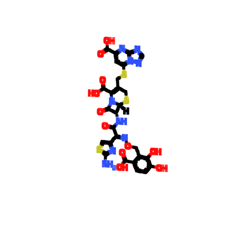 Nc1nc(C(=NOCc2c(C(=O)O)ccc(O)c2O)C(=O)N[C@@H]2C(=O)N3C(C(=O)O)=C(CSc4cc(C(=O)O)nc5ncnn45)CS[C@H]23)cs1